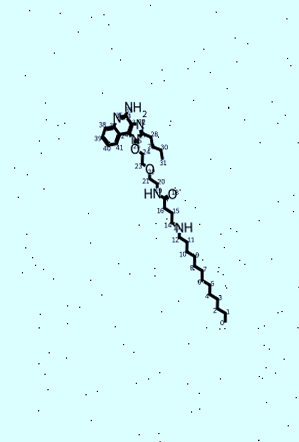 CCCCCCCCCCCCCNCCCC(=O)NCCOCCOn1c(CCCC)nc2c(N)nc3ccccc3c21